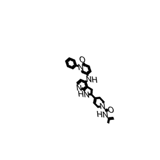 C=C(C)NC(=O)N1CC=C(C2Cc3c(Nc4ccc(=O)n(-c5ccccc5)c4)ccnc3N2)CC1